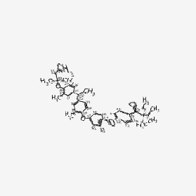 C=C(C)C(C)(CC)C(=O)c1ccc(Oc2ccc(Oc3ccc(C(C)c4ccc(OC(C)(C)CC)c(C)c4)cc3C)cc2)cc1